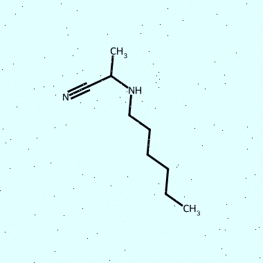 CCCCCCNC(C)C#N